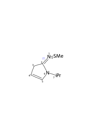 CS/N=C1/CC=CN1C(C)C